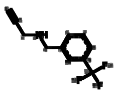 C#CCNCc1cccc(C(F)(F)F)c1